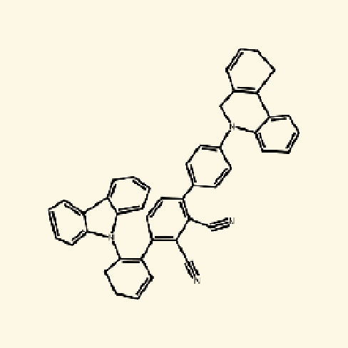 N#Cc1c(C2=C(n3c4ccccc4c4ccccc43)CCC=C2)ccc(-c2ccc(N3CC4=C(CCC=C4)c4ccccc43)cc2)c1C#N